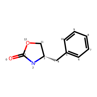 O=C1[N][C@@H](Cc2ccccc2)CO1